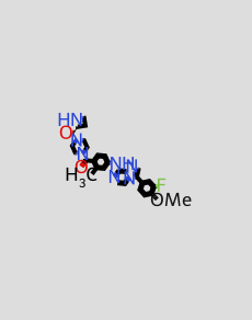 COc1ccc(-c2cnc3c(Nc4ccc(C(=O)N5CCN(C(=O)[C@H]6CCN6)CC5)c(C)c4)nccn23)cc1F